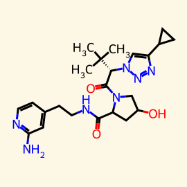 CC(C)(C)[C@@H](C(=O)N1CC(O)CC1C(=O)NCCc1ccnc(N)c1)n1cc(C2CC2)nn1